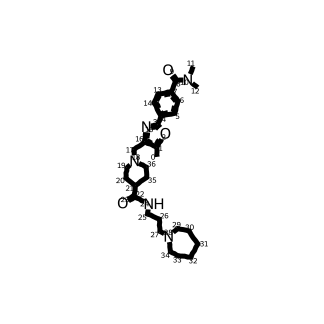 Cc1oc(-c2ccc(C(=O)N(C)C)cc2)nc1CN1CCC(C(=O)NCCCN2CCCCCC2)CC1